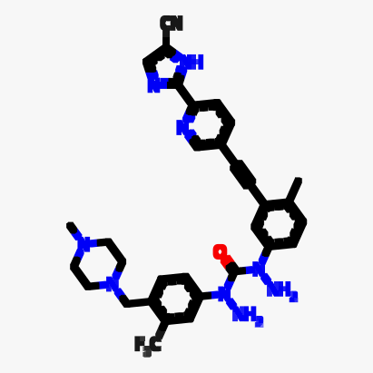 Cc1ccc(N(N)C(=O)N(N)c2ccc(CN3CCN(C)CC3)c(C(F)(F)F)c2)cc1C#Cc1ccc(-c2ncc(C#N)[nH]2)nc1